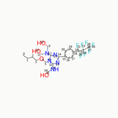 CCCCOCN1C(N(CO)CO)=NC(c2ccc(C(F)(F)C(F)(F)C(F)(F)F)cc2)=NC1NCO